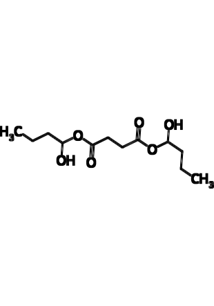 CCCC(O)OC(=O)CCC(=O)OC(O)CCC